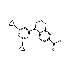 O=C(S)c1ccc2c(n1)CCCN2c1cc(C2CC2)nc(C2CC2)c1